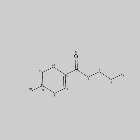 CCCCC(=O)C1=CCN(C)CC1